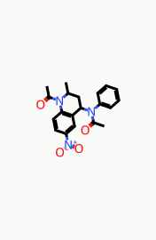 CC(=O)N1c2ccc([N+](=O)[O-])cc2C(N(C(C)=O)c2ccccc2)CC1C